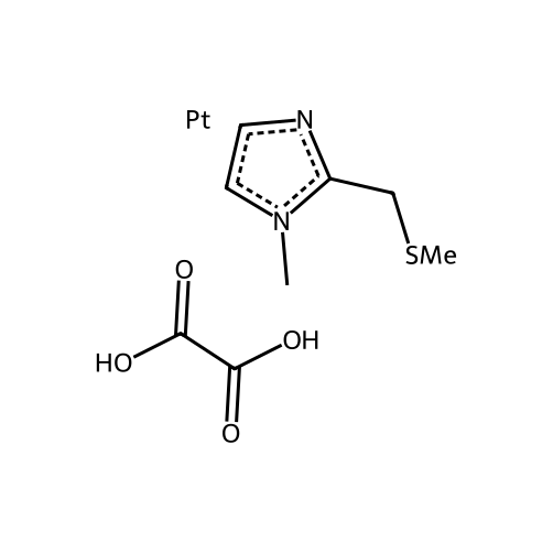 CSCc1nccn1C.O=C(O)C(=O)O.[Pt]